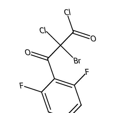 O=C(Cl)C(Cl)(Br)C(=O)c1c(F)cccc1F